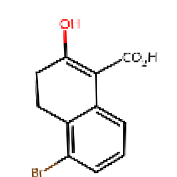 O=C(O)C1=C(O)CCc2c(Br)cccc21